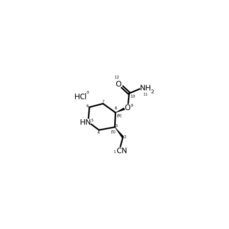 Cl.N#CC[C@H]1CNCC[C@H]1OC(N)=O